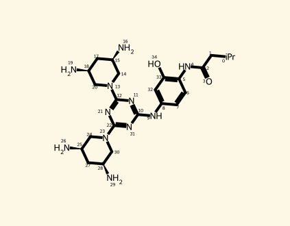 CC(C)CC(=O)Nc1ccc(Nc2nc(N3C[C@H](N)C[C@H](N)C3)nc(N3C[C@H](N)C[C@H](N)C3)n2)cc1O